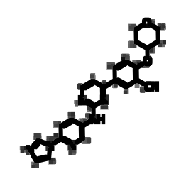 N#Cc1cc(-c2ccnc(Nc3ccc(-n4ccnc4)nc3)n2)ccc1OC1CCOCC1